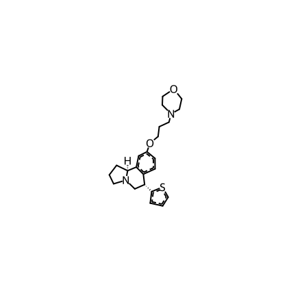 c1csc([C@@H]2CN3CCC[C@H]3c3cc(OCCCN4CCOCC4)ccc32)c1